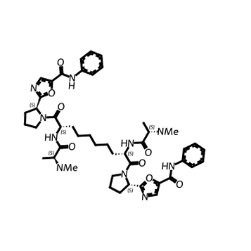 CN[C@@H](C)C(=O)N[C@@H](CCCCCC[C@H](NC(=O)[C@H](C)NC)C(=O)N1CCC[C@H]1c1ncc(C(=O)Nc2ccccc2)o1)C(=O)N1CCC[C@H]1c1ncc(C(=O)Nc2ccccc2)o1